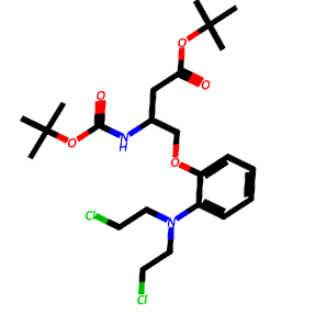 CC(C)(C)OC(=O)CC(COc1ccccc1N(CCCl)CCCl)NC(=O)OC(C)(C)C